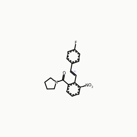 O=C(c1cccc([N+](=O)[O-])c1/C=C/c1ccc(F)cc1)N1CCCC1